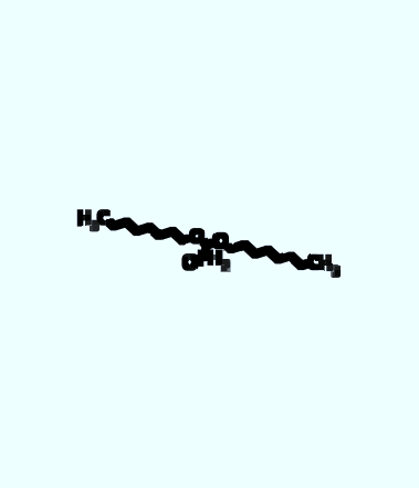 CCCCCCCCOC(OCCCCCCCC)[PH2]=O